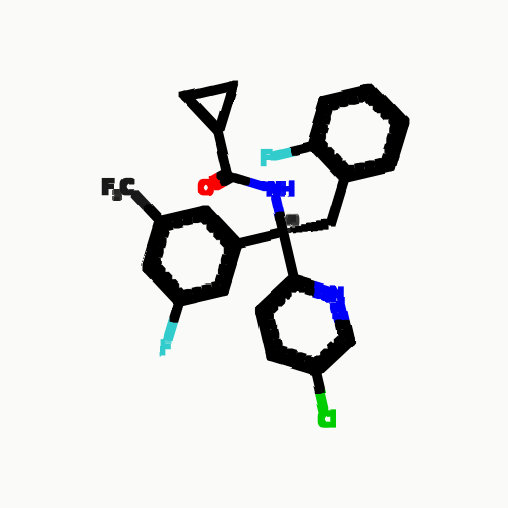 O=C(N[C@](Cc1ccccc1F)(c1cc(F)cc(C(F)(F)F)c1)c1ccc(Cl)cn1)C1CC1